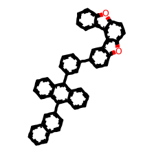 c1cc(-c2ccc3oc4ccc5oc6ccccc6c5c4c3c2)cc(-c2c3ccccc3c(-c3ccc4ccccc4c3)c3ccccc23)c1